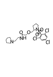 O=C(COCC1CCCN1S(=O)(=O)c1c(Cl)cc(Cl)cc1Cl)NCCN1CCCCC1